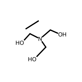 CC.OCN(CO)CO